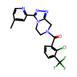 Cc1ccnc(-c2nnc3n2CCN(C(=O)c2cccc(C(F)(F)F)c2Cl)C3)c1